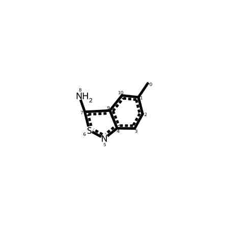 Cc1ccc2nsc(N)c2c1